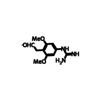 COc1cc(NC(=N)N)cc(OC)c1C[C]=O